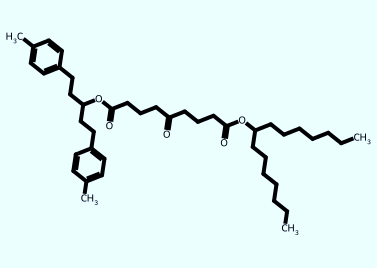 CCCCCCCC(CCCCCCC)OC(=O)CCCC(=O)CCCC(=O)OC(CCc1ccc(C)cc1)CCc1ccc(C)cc1